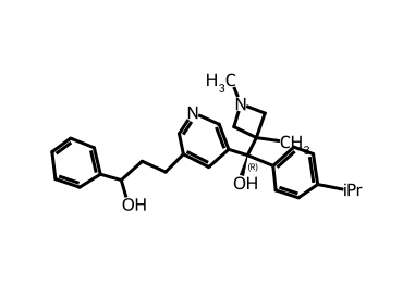 CC(C)c1ccc([C@](O)(c2cncc(CCC(O)c3ccccc3)c2)C2(C)CN(C)C2)cc1